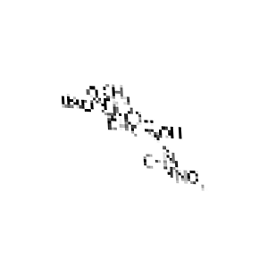 C[C@@H]1CN(c2ccc(OC[C@@H](O)CCn3cc([N+](=O)[O-])nc3Cl)cc2)[C@@H](C)CN1C(=O)OC(C)(C)C